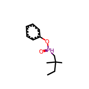 CCC(C)(C)C[PH](=O)Oc1ccccc1